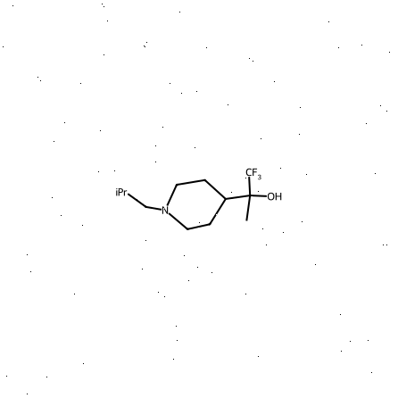 CC(C)CN1CCC(C(C)(O)C(F)(F)F)CC1